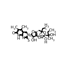 CCC(C)(C[C@H]1O[C@@H](n2cc3c(C)c(C)c(=O)[nH]c3nc2=S)[C@@H](O)C1O)OP(=O)(O)C(C)(O)CC